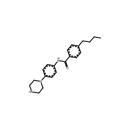 CCCCc1ccc(C(=O)Nc2ccc(N3CCNCC3)cc2)cc1